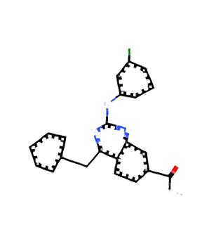 COC(=O)c1ccc2c(Cc3ccccc3)nc(Nc3cccc(Cl)c3)nc2c1